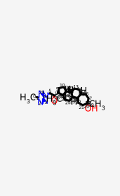 Cc1nnn(CC(=O)[C@H]2CC[C@H]3[C@@H]4CC[C@@H]5CC[C@](C)(O)CC[C@@H]5[C@H]4CC[C@]23C)n1